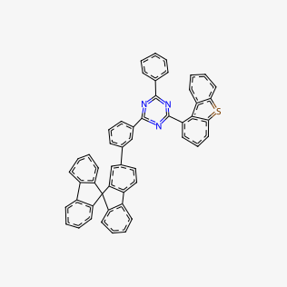 c1ccc(-c2nc(-c3cccc(-c4ccc5c(c4)C4(c6ccccc6-c6ccccc64)c4ccccc4-5)c3)nc(-c3cccc4sc5ccccc5c34)n2)cc1